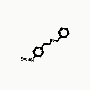 S=C=Nc1ccc(CCNCc2ccccc2)cc1